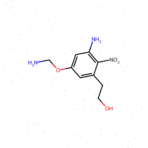 NCOc1cc(N)c([N+](=O)[O-])c(CCO)c1